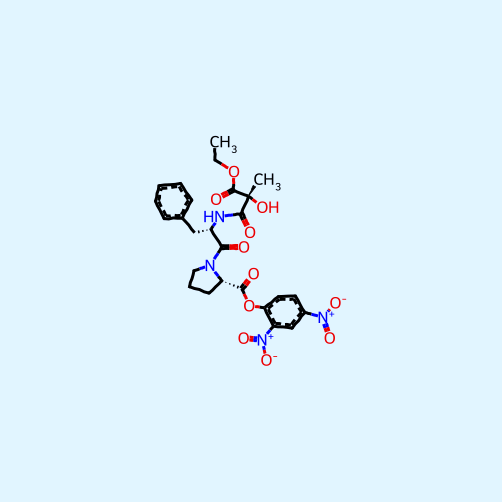 CCOC(=O)[C@](C)(O)C(=O)N[C@@H](Cc1ccccc1)C(=O)N1CCC[C@H]1C(=O)Oc1ccc([N+](=O)[O-])cc1[N+](=O)[O-]